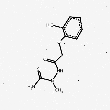 Cc1ccccc1OCC(=O)NN(C)C(N)=S